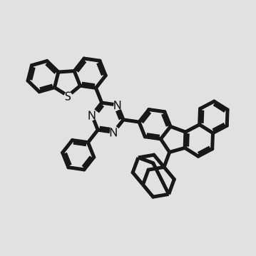 c1ccc(-c2nc(-c3ccc4c(c3)C(C35CC6CC(CC(C6)C3)C5)c3ccc5ccccc5c3-4)nc(-c3cccc4c3sc3ccccc34)n2)cc1